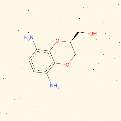 Nc1ccc(N)c2c1OC[C@H](CO)O2